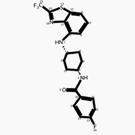 O=C(N[C@H]1CC[C@@H](Nc2cccc3sc(C(F)(F)F)nc23)CC1)c1ccc(F)cc1